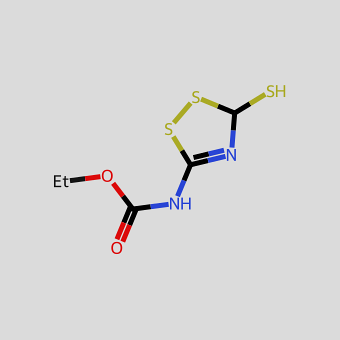 CCOC(=O)NC1=NC(S)SS1